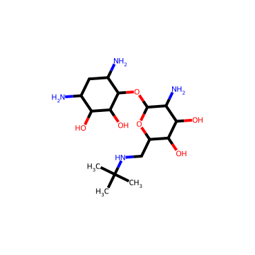 CC(C)(C)NCC1OC(OC2C(N)CC(N)C(O)C2O)C(N)C(O)C1O